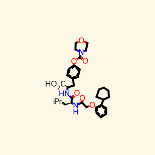 CC(C)C[C@H](NC(=O)COc1ccccc1C1CCCCC1)C(=O)N[C@@H](Cc1ccc(OC(=O)N2CCOCC2)cc1)C(=O)O